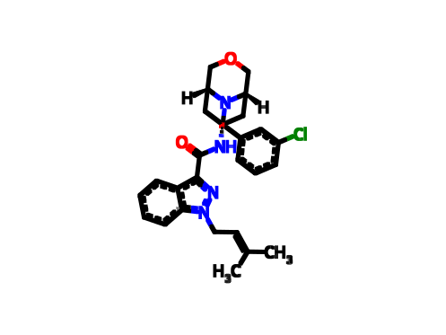 CC(C)=CCn1nc(C(=O)N[C@H]2C[C@H]3COC[C@@H](C2)N3Cc2cccc(Cl)c2)c2ccccc21